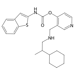 CC(CNCc1cnccc1OC(=O)Nc1cc2ccccc2s1)C1CCCCC1